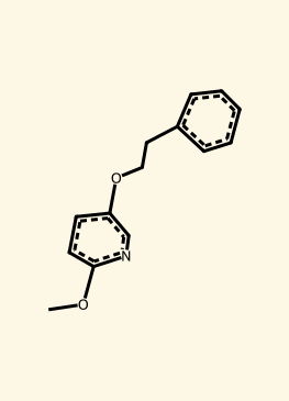 COc1ccc(OCCc2ccccc2)cn1